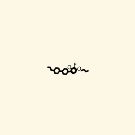 CCCCOc1ccc2c(c1F)OC1CC(C3CCC(CCC)CC3)CCC21